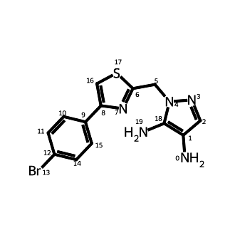 Nc1cnn(Cc2nc(-c3ccc(Br)cc3)cs2)c1N